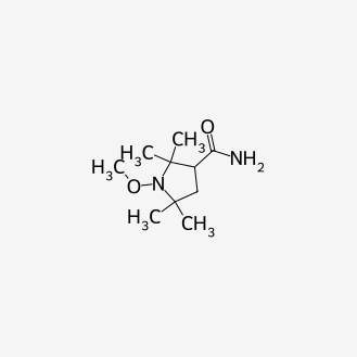 CON1C(C)(C)CC(C(N)=O)C1(C)C